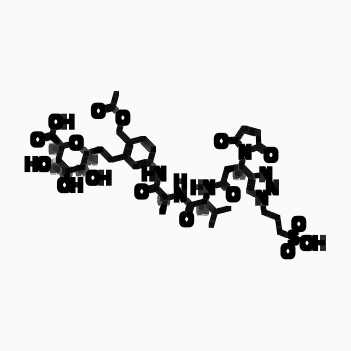 CC(=O)OCc1ccc(NC(=O)[C@H](C)NC(=O)[C@@H](NC(=O)C[C@H](c2cn(CCCS(=O)(=O)O)nn2)N2C(=O)C=CC2=O)C(C)C)cc1CC[C@@H]1O[C@H](C(=O)O)[C@@H](O)[C@H](O)[C@H]1O